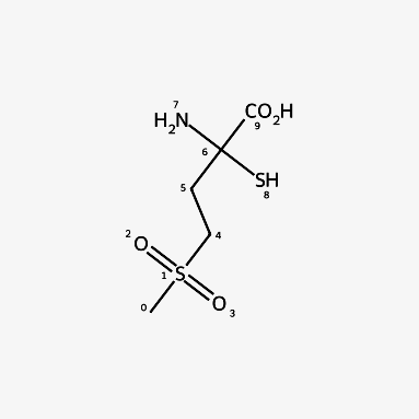 CS(=O)(=O)CCC(N)(S)C(=O)O